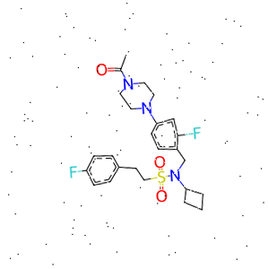 CC(=O)N1CCN(c2ccc(CN(C3CCC3)S(=O)(=O)CCc3ccc(F)cc3)c(F)c2)CC1